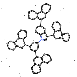 c1ccc2c(c1)cc(-c1cc(-c3cc4ccccc4c4ccccc34)cc(-n3cc(-c4cc5ccccc5c5ccccc45)c4cc(-c5cc6ccccc6c6ccccc56)ccc43)c1)c1ccccc12